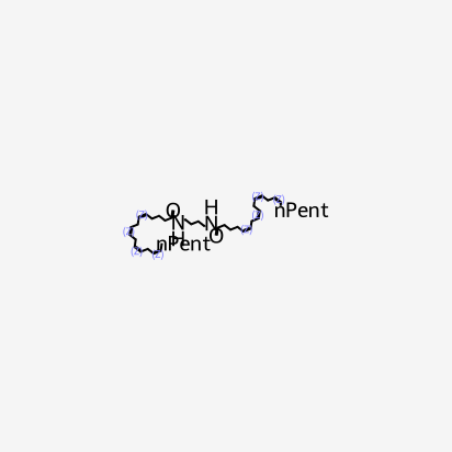 CCCCC/C=C\C/C=C\C/C=C\C/C=C\CCCC(=O)NCCCCNC(=O)CCC/C=C\C/C=C\C/C=C\C/C=C\CCCCC